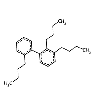 CCCCc1ccccc1-c1cccc(CCCC)c1CCCC